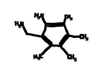 Cc1c(C)c(C)c(CN)c(N)c1C